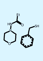 CCC(=O)NN1CCOCC1.SCc1ccccc1